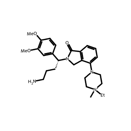 CC[N+]1(C)CCN(c2cccc3c2CN([C@H](CCCN)c2ccc(OC)c(OC)c2)C3=O)CC1